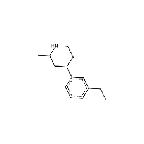 CCc1cccc(C2CCNC(C)C2)c1